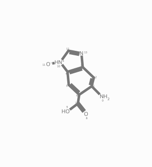 Nc1cc2c(cc1C(=O)O)[NH+]([O-])C=N2